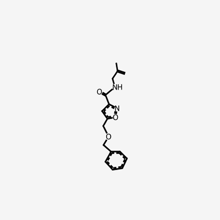 C=C(C)CNC(=O)c1cc(COCc2ccccc2)on1